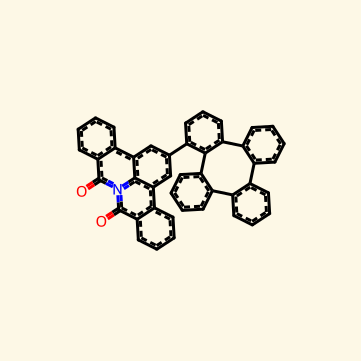 O=c1c2ccccc2c2cc(-c3cccc4c3-c3ccccc3-c3ccccc3-c3ccccc3-4)cc3c4ccccc4c(=O)n1c23